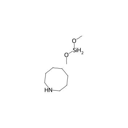 C1CCCNCCC1.CO[SiH2]OC